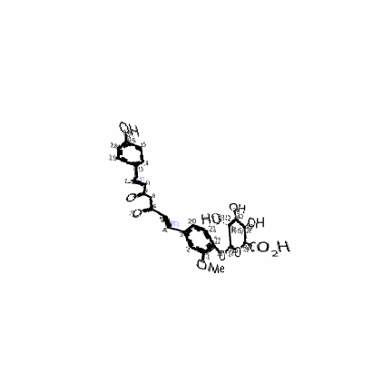 COc1cc(/C=C/C(=O)CC(=O)/C=C/c2ccc(O)cc2)ccc1O[C@@H]1O[C@H](C(=O)O)[C@@H](O)[C@H](O)[C@H]1O